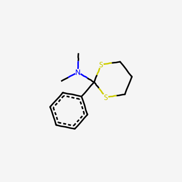 CN(C)C1(c2ccccc2)SCCCS1